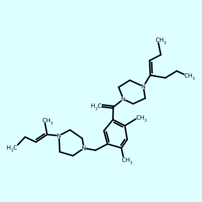 C=C(c1cc(CN2CCN(/C(C)=C/CC)CC2)c(C)cc1C)N1CCN(/C(=C/CC)CCC)CC1